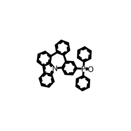 O=P(c1ccccc1)(c1ccccc1)c1ccc2c(c1)-c1ccccc1-c1cccc3c4ccccc4n-2c13